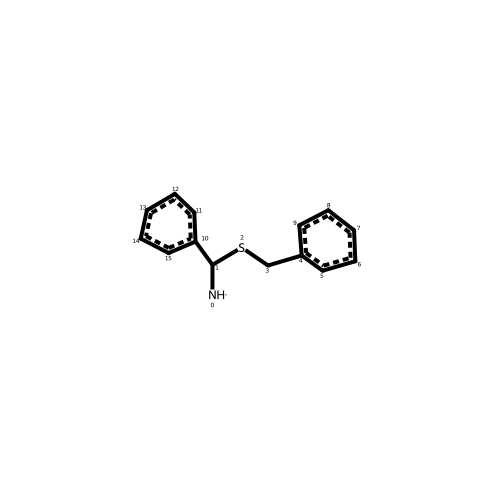 [NH]C(SCc1ccccc1)c1ccccc1